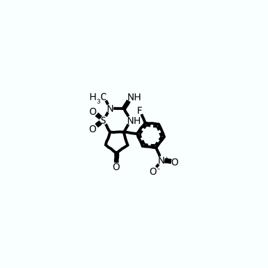 CN1C(=N)NC2(c3cc([N+](=O)[O-])ccc3F)CC(=O)CC2S1(=O)=O